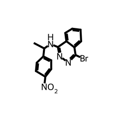 CC(Nc1nnc(Br)c2ccccc12)c1ccc([N+](=O)[O-])cc1